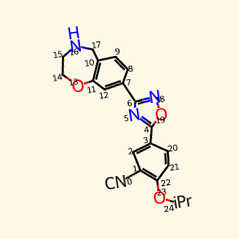 [C-]#[N+]c1cc(-c2nc(-c3ccc4c(c3)OCCNC4)no2)ccc1OC(C)C